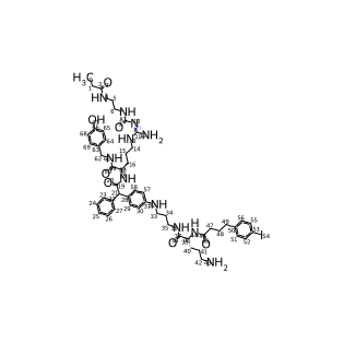 CCC(=O)NCCNC(=O)/N=C(/N)NCCC[C@@H](NC(=O)C(c1ccccc1)c1ccc(NCCCNC(=O)[C@@H](CCCN)NC(=O)CCCc2ccc(I)cc2)cc1)C(=O)NCc1ccc(O)cc1